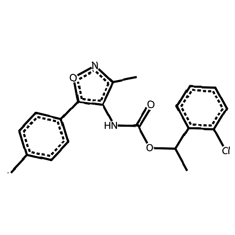 [CH2]c1ccc(-c2onc(C)c2NC(=O)OC(C)c2ccccc2Cl)cc1